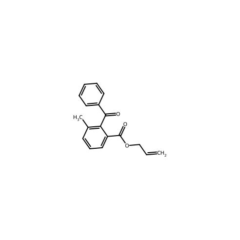 C=CCOC(=O)c1cccc(C)c1C(=O)c1ccccc1